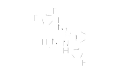 CCc1ccc2c(c1)C(NC[C@@H](N)[C@H](Cc1cc(F)cc(F)c1)NC(C)=O)c1ccc(F)cc1-2